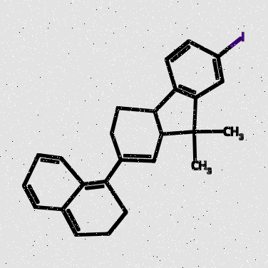 CC1(C)c2cc(I)ccc2C2CCC(C3=c4ccccc4=CCC3)=CC21